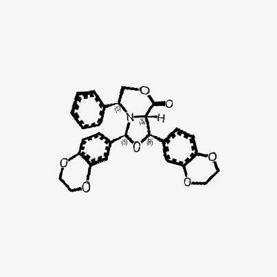 O=C1OC[C@H](c2ccccc2)N2[C@H]1[C@@H](c1ccc3c(c1)OCCO3)O[C@H]2c1ccc2c(c1)OCCO2